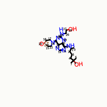 CC(CCCC(C)(C)O)Nc1ncnc2c(N3CC[S+]([O-])CC3)nc(NCCO)nc12